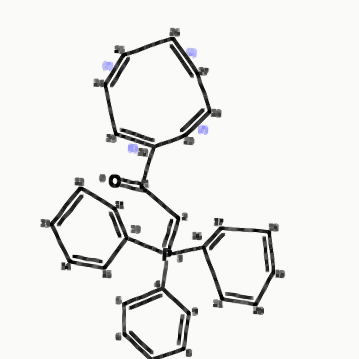 O=C(C=P(c1ccccc1)(c1ccccc1)c1ccccc1)C1=C/C=C\C=C/C=C\1